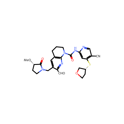 CO[C@H]1CCN(Cc2cc3c(nc2C=O)N(C(=O)Nc2cc(S[C@@H]4CCOC4)c(C#N)cn2)CCC3)C1=O